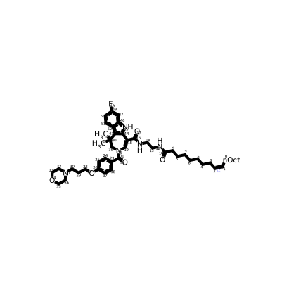 CCCCCCCC/C=C\CCCCCCCC(=O)NCCNC(=O)C1=CN(C(=O)c2ccc(OCCCN3CCOCC3)cc2)CC(C)(C)c2c1[nH]c1cc(F)ccc21